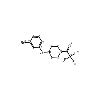 O=C(N1CCN(Sc2cccc(Br)c2)CC1)C(F)(F)F